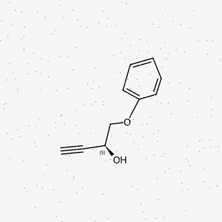 C#C[C@H](O)COc1ccccc1